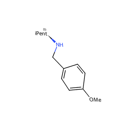 CCC[C@H](C)NCc1ccc(OC)cc1